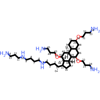 C[C@H](CCCNCCCCNCCCN)C1CC[C@H]2C3[C@H](OCCCN)CC4C[C@H](OCCCN)CC[C@]4(C)[C@H]3CC(OCCCN)[C@]12C